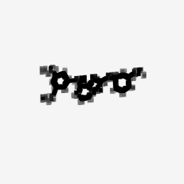 Cc1cc(C)cc(Nc2nccn3nc(Nc4cccc(C(F)(F)F)c4)nc23)c1